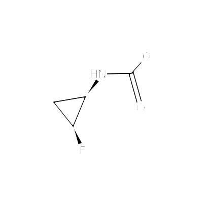 [O]C(=O)N[C@@H]1C[C@@H]1F